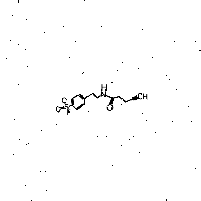 C#CCCC(=O)NCCc1ccc(S(=O)(=O)F)cc1